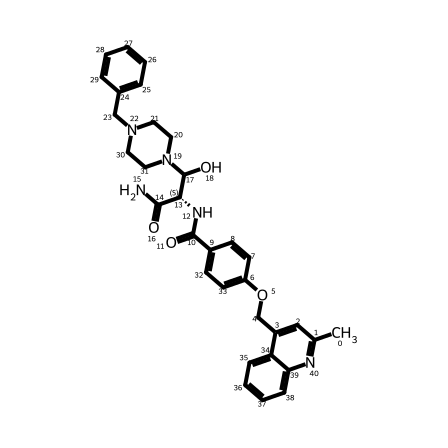 Cc1cc(COc2ccc(C(=O)N[C@H](C(N)=O)C(O)N3CCN(Cc4ccccc4)CC3)cc2)c2ccccc2n1